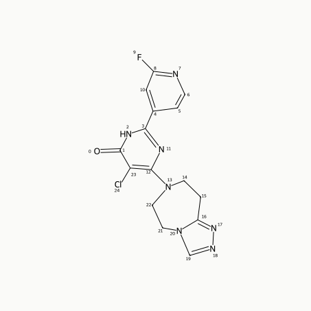 O=c1[nH]c(-c2ccnc(F)c2)nc(N2CCc3nncn3CC2)c1Cl